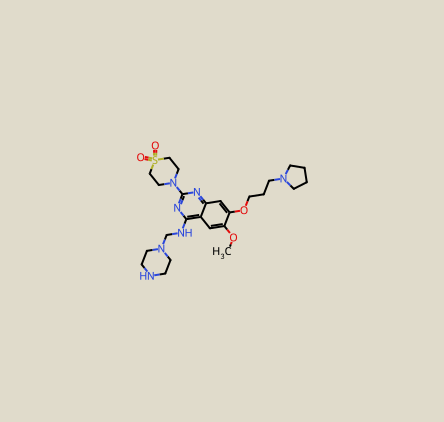 COc1cc2c(NCN3CCNCC3)nc(N3CCS(=O)(=O)CC3)nc2cc1OCCCN1CCCC1